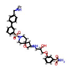 CC(C)NCc1ccc(-c2cccc(S(=O)(=O)N3CCC4(CC3)CC(NCC(O)COc3cccc(S(N)(=O)=O)c3)CO4)c2)cc1